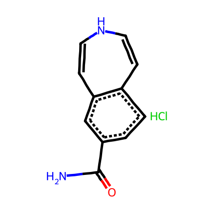 Cl.NC(=O)c1ccc2c(c1)C=CNC=C2